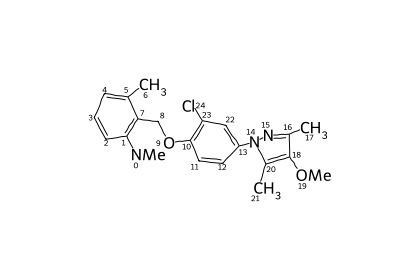 CNc1cccc(C)c1COc1ccc(-n2nc(C)c(OC)c2C)cc1Cl